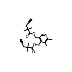 C#CCC(C)(C)C(=O)OCc1cnc(C)c(C)c1COC(=O)C(C)(C)CC#C